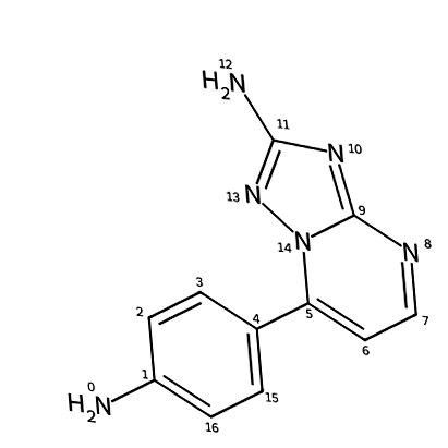 Nc1ccc(-c2ccnc3nc(N)nn23)cc1